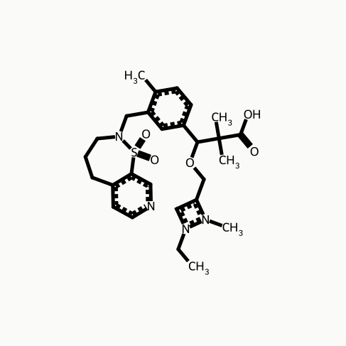 CCn1cc(COC(c2ccc(C)c(CN3CCCc4ccncc4S3(=O)=O)c2)C(C)(C)C(=O)O)n1C